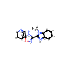 Cn1c(C2=NO[C@@]3(CN4CCC3CC4)N2)nc2ccccc21